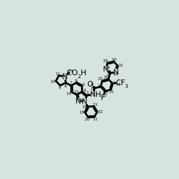 O=C(Nc1c2ccc(C3CCCN3C(=O)O)cc2nn1-c1ccccc1)c1cc(-c2ncccn2)c(C(F)(F)F)cc1F